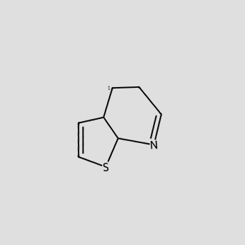 [C]1CC=NC2SC=CC12